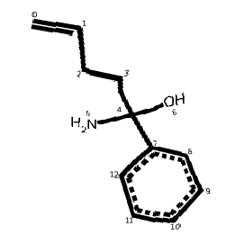 C=CCCC(N)(O)c1ccccc1